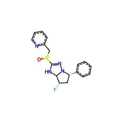 [O-][S+](Cc1ccccn1)C1=NN2C(N1)[C@@H](F)C[C@H]2c1ccccc1